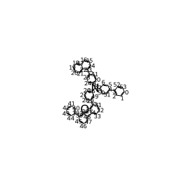 c1ccc(-c2ccc(N(c3ccc(-c4cccc5ccccc45)cc3)c3cccc(-c4cccc5c4oc4c(-c6ccccc6)cccc45)c3)cc2)cc1